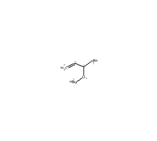 C=CC(CCCC)OCCCC